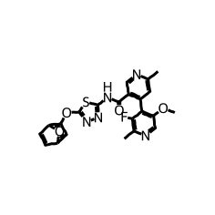 COc1cnc(C)c(F)c1-c1cc(C)ncc1C(=O)Nc1nnc(Oc2cc3ccc2o3)s1